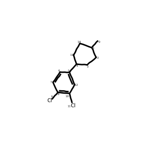 CC1CCC(c2ccc(Cl)c(Cl)c2)CC1